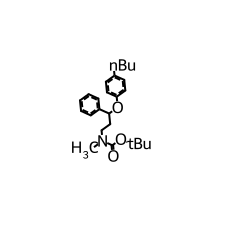 [CH2]CCCc1ccc(OC(CCN(C)C(=O)OC(C)(C)C)c2ccccc2)cc1